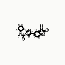 CN(C(=O)n1cnc(-c2ccc3oc(=O)[nH]c3c2)c1)C1CCCC1